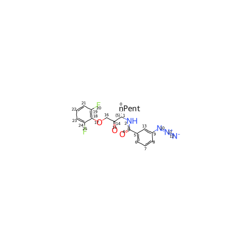 CCCCC[C@H](NC(=O)c1cccc(N=[N+]=[N-])c1)C(=O)COc1c(F)cccc1F